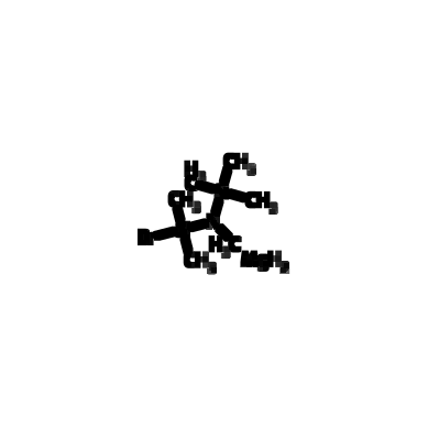 CN([Si](C)(C)C)[Si](C)(C)Br.[MgH2]